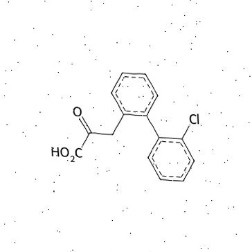 O=C(O)C(=O)Cc1ccccc1-c1ccccc1Cl